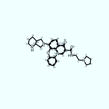 O=C(NCCN1CCCC1)c1cn2c3c(c(N4CC5CCCNC5C4)ccc3c1=O)Oc1ccccc1-2